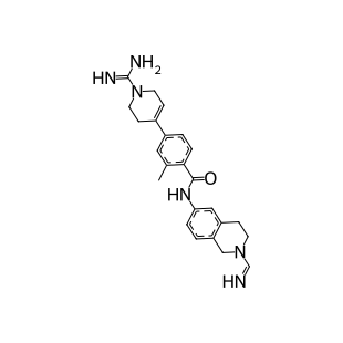 Cc1cc(C2=CCN(C(=N)N)CC2)ccc1C(=O)Nc1ccc2c(c1)CCN(C=N)C2